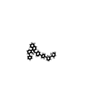 c1ccc(-c2cccc3c2nc(-c2ccc(-c4ccc(-c5cccc(-c6ccccn6)n5)cc4)cc2)c2ccc4ccccc4c23)cc1